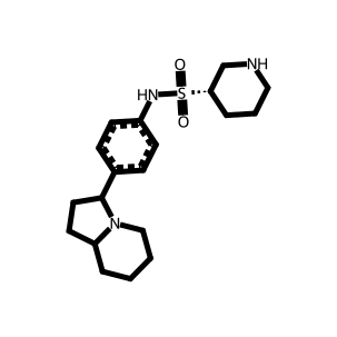 O=S(=O)(Nc1ccc(C2CCC3CCCCN32)cc1)[C@H]1CCCNC1